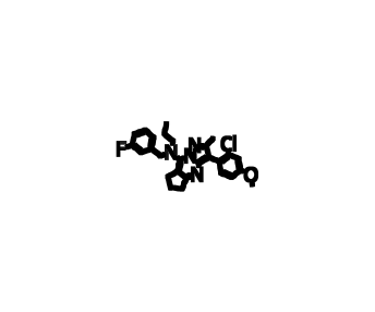 CCCN(Cc1cccc(F)c1)c1c2c(nc3c(-c4ccc(OC)cc4Cl)c(C)nn13)CCC2